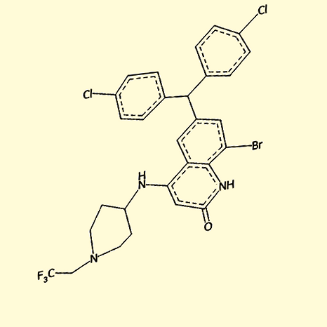 O=c1cc(NC2CCN(CC(F)(F)F)CC2)c2cc(C(c3ccc(Cl)cc3)c3ccc(Cl)cc3)cc(Br)c2[nH]1